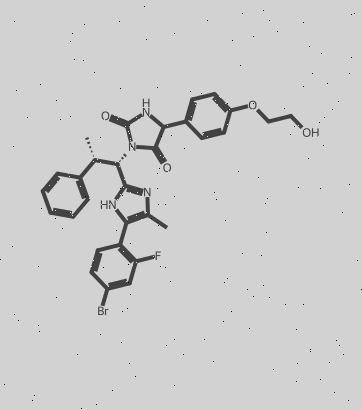 Cc1nc([C@H]([C@@H](C)c2ccccc2)N2C(=O)NC(c3ccc(OCCO)cc3)C2=O)[nH]c1-c1ccc(Br)cc1F